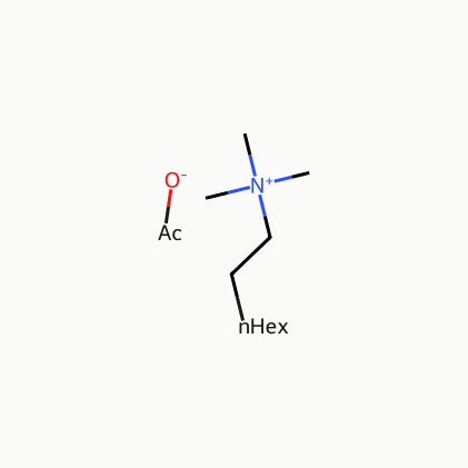 CC(=O)[O-].CCCCCCCC[N+](C)(C)C